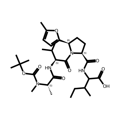 CCC(C)C(NC(=O)[C@@H]1CC[C@H](c2ccc(C)o2)N1C(=O)[C@@H](NC(=O)[C@H](C)N(C)C(=O)OC(C)(C)C)C(C)C)C(=O)O